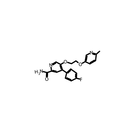 Cc1ccc(OCCOc2cnc(C(N)=O)cc2-c2ccc(F)cc2)cn1